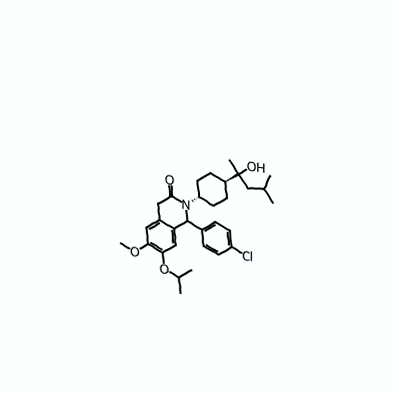 COc1cc2c(cc1OC(C)C)C(c1ccc(Cl)cc1)N([C@H]1CC[C@H](C(C)(O)CC(C)C)CC1)C(=O)C2